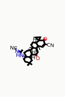 C/C(=N\C#N)N[C@]12CCC(C)(C)C[C@H]1[C@H]1C(=O)C=C3[C@@]4(C)C=C(C#N)C(=O)C5(CC5)[C@@H]4CC[C@@]3(C)[C@]1(C)CC2